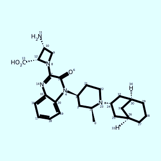 C[C@H]1C[C@@H](n2c(=O)c(N3C[C@@H](N)[C@H]3C(=O)O)nc3ccccc32)CCN1[C@H]1C[C@@H]2CCC[C@@H](C2)C1